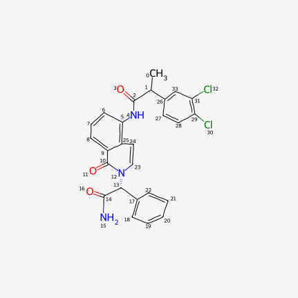 CC(C(=O)Nc1cccc2c(=O)n([C@@H](C(N)=O)c3ccccc3)ccc12)c1ccc(Cl)c(Cl)c1